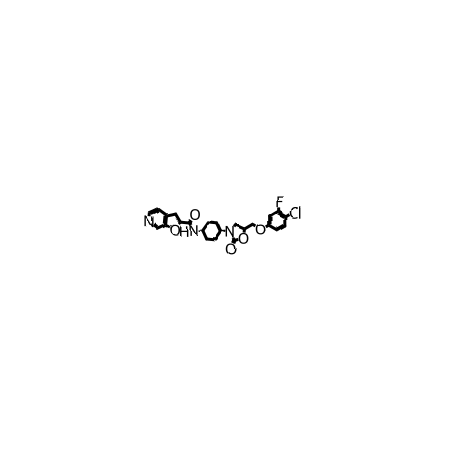 O=C(N[C@H]1CC[C@H](N2CC(COc3ccc(Cl)c(F)c3)OC2=O)CC1)C1Cc2ccncc2O1